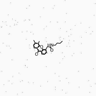 CCCCNC(=O)Cc1cccc2c(=O)c3ccc(C)c(C)c3oc12